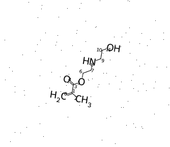 C=C(C)C(=O)OCCNCCO